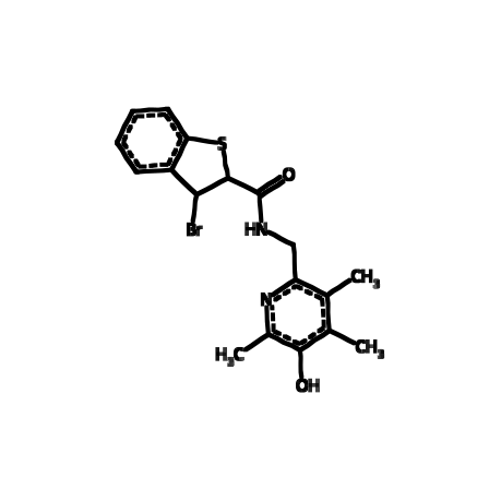 Cc1nc(CNC(=O)C2Sc3ccccc3C2Br)c(C)c(C)c1O